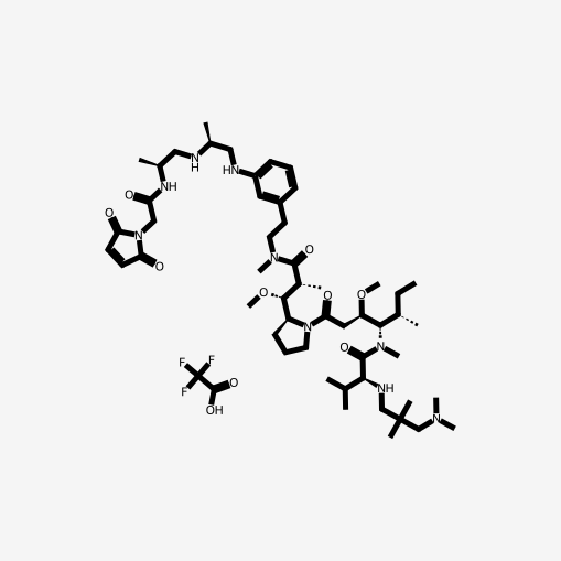 CC[C@H](C)[C@@H]([C@@H](CC(=O)N1CCC[C@H]1[C@H](OC)[C@@H](C)C(=O)N(C)CCc1cccc(NC[C@H](C)NC[C@H](C)NC(=O)CN2C(=O)C=CC2=O)c1)OC)N(C)C(=O)[C@@H](NCC(C)(C)CN(C)C)C(C)C.O=C(O)C(F)(F)F